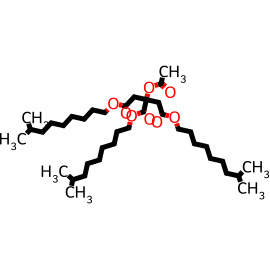 CC(=O)OC(CC(=O)OCCCCCCCC(C)C)(CC(=O)OCCCCCCCC(C)C)C(=O)OCCCCCCCC(C)C